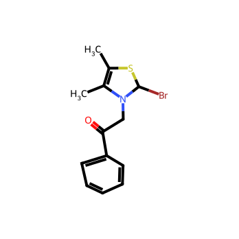 CC1=C(C)N(CC(=O)c2ccccc2)C(Br)S1